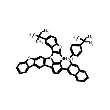 CC(C)(C)c1ccc(Nc2cc3ccccc3cc2-c2ccc3c4cc5c(cc4n4c3c2Bc2oc3ccc(C(C)(C)C)cc3c2-4)sc2ccccc25)cc1